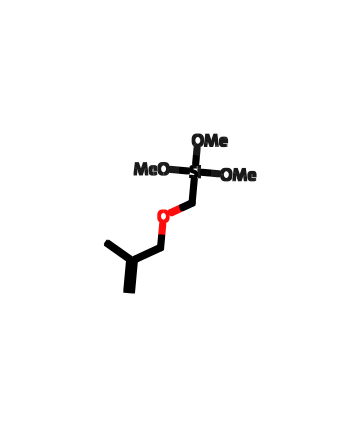 C=C(C)COC[Si](OC)(OC)OC